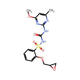 COc1cc(C)nc(NC(=O)NS(=O)(=O)c2ccccc2OCC2CO2)n1